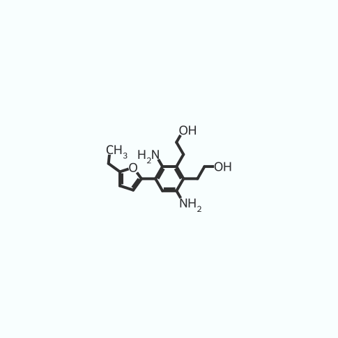 CCc1ccc(-c2cc(N)c(CCO)c(CCO)c2N)o1